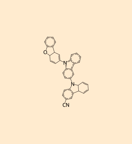 N#Cc1ccc2c(c1)C1C=CC=CC1N2c1ccc2c(c1)c1ccccc1n2C1=CC2c3ccccc3OC2C=C1